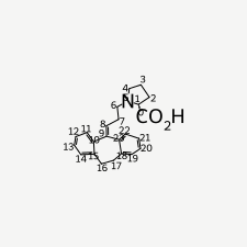 O=C(O)[C@@H]1CCCN1CCC=C1c2ccccc2CCc2ccccc21